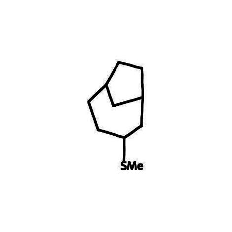 CSC1CCC2CCC(C2)C1